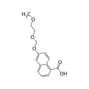 COCCOCOc1ccc2c(C(=O)O)cccc2c1